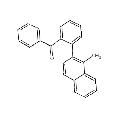 Cc1c(-c2ccccc2C(=O)c2ccccc2)ccc2ccccc12